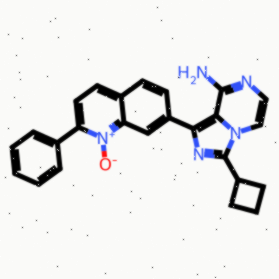 Nc1nccn2c(C3CCC3)nc(-c3ccc4ccc(-c5ccccc5)[n+]([O-])c4c3)c12